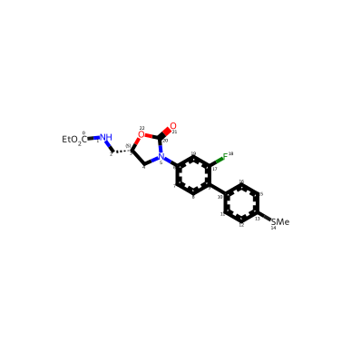 CCOC(=O)NC[C@H]1CN(c2ccc(-c3ccc(SC)cc3)c(F)c2)C(=O)O1